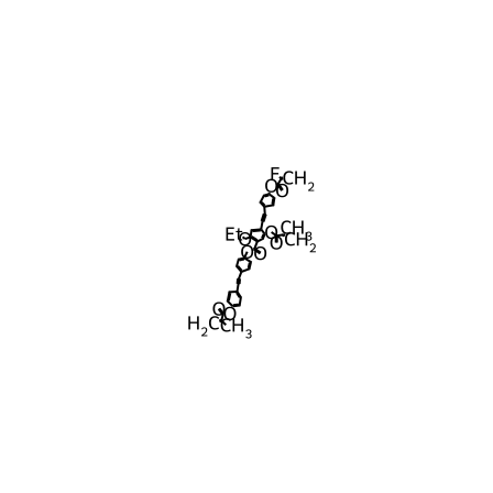 C=C(C)C(=O)Oc1ccc(C#Cc2ccc(OC(=O)c3cc(OC(=O)C(=C)C)c(C#Cc4ccc(OC(=O)C(=C)F)cc4)cc3OCC)cc2)cc1